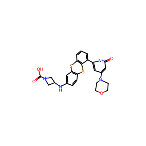 O=C(O)N1CC(Nc2ccc3c(c2)Sc2cccc(-c4cc(N5CCOCC5)cc(=O)[nH]4)c2S3)C1